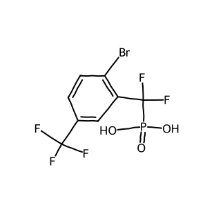 O=P(O)(O)C(F)(F)c1cc(C(F)(F)F)ccc1Br